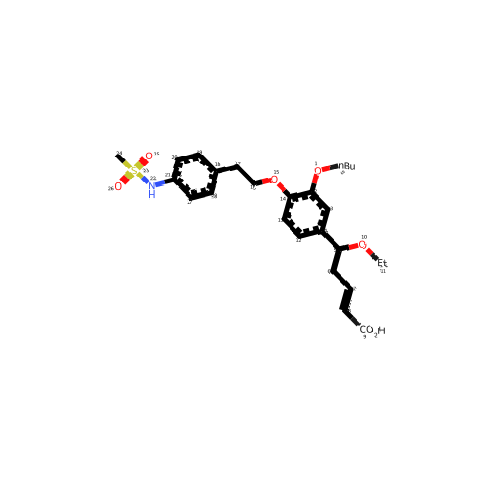 CCCCOc1cc(C(CC=CC(=O)O)OCC)ccc1OCCc1ccc(NS(C)(=O)=O)cc1